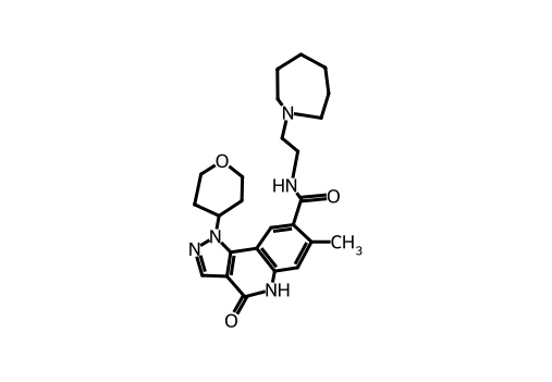 Cc1cc2[nH]c(=O)c3cnn(C4CCOCC4)c3c2cc1C(=O)NCCN1CCCCCC1